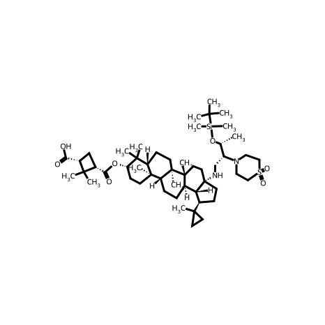 C[C@@H](O[Si](C)(C)C(C)(C)C)[C@@H](CN[C@]12CC[C@@H](C3(C)CC3)[C@@H]1[C@H]1CC[C@@H]3[C@@]4(C)CC[C@H](OC(=O)[C@H]5C[C@@H](C(=O)O)C5(C)C)C(C)(C)[C@@H]4CC[C@@]3(C)[C@]1(C)CC2)N1CCS(=O)(=O)CC1